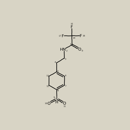 O=C(NCCC1=CC=C([SH](=O)=O)CC1)C(F)(F)F